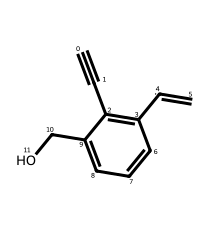 C#Cc1c([C]=C)cccc1CO